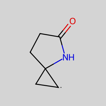 O=C1CCC2([CH]C2)N1